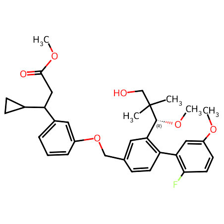 COC(=O)CC(c1cccc(OCc2ccc(-c3cc(OC)ccc3F)c([C@@H](OC)C(C)(C)CO)c2)c1)C1CC1